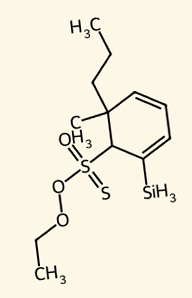 CCCC1(C)C=CC=C([SiH3])C1S(=O)(=S)OOCC